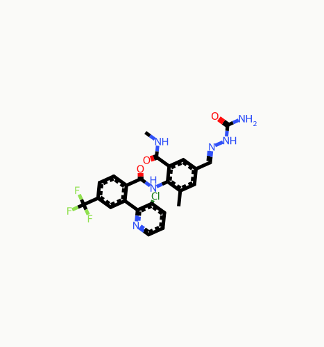 CNC(=O)c1cc(/C=N/NC(N)=O)cc(C)c1NC(=O)c1ccc(C(F)(F)F)cc1-c1ncccc1Cl